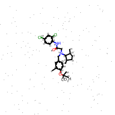 Cc1cc(CN(CC(=O)Nc2ccc(Cl)cc2Cl)C2C(C)CCC2C)ccc1OC(C)(C)C(=O)O